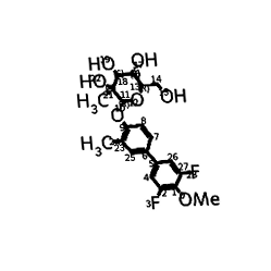 COc1c(F)cc(-c2ccc(O[C@H]3O[C@H](CO)[C@@H](O)[C@H](O)[C@]3(C)O)c(C)c2)cc1F